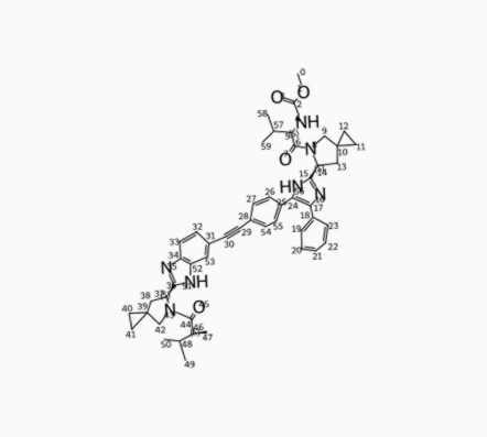 COC(=O)N[C@H](C(=O)N1CC2(CC2)C[C@H]1c1nc(-c2ccccc2)c(-c2ccc(C#Cc3ccc4nc([C@@H]5CC6(CC6)CN5C(=O)[C@@H](C)C(C)C)[nH]c4c3)cc2)[nH]1)C(C)C